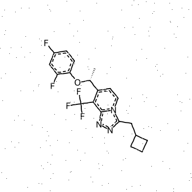 C[C@@H](Oc1ccc(F)cc1F)c1ccn2c(CC3CCC3)nnc2c1C(F)(F)F